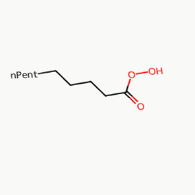 CCCCCCCCCC(=O)OO